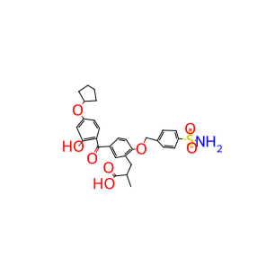 CC(Cc1cc(C(=O)c2ccc(OC3CCCC3)cc2O)ccc1OCc1ccc(S(N)(=O)=O)cc1)C(=O)O